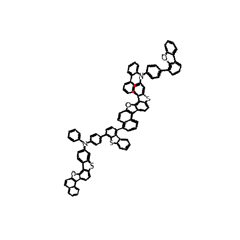 c1ccc(-c2ccccc2N(c2ccc(-c3cccc4c3oc3ccccc34)cc2)c2ccc3c(c2)sc2ccc4c(oc5ccc6c(-c7ccc(-c8ccc(N(c9ccccc9)c9ccc%10c(c9)sc9ccc%11c(oc%12ccc%13ccccc%13c%12%11)c9%10)cc8)c8sc9ccccc9c78)cccc6c54)c23)cc1